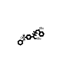 CC(C)(C)CC(c1ccc(S(=O)(=O)OC2CCCCC2)cc1)C(C)(C)C(C)(C)CC(c1ccccc1)C(C)(C)C